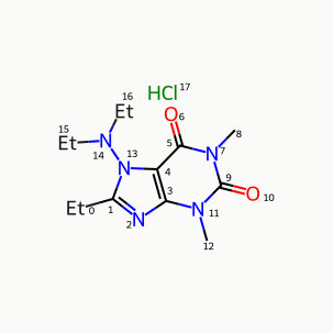 CCc1nc2c(c(=O)n(C)c(=O)n2C)n1N(CC)CC.Cl